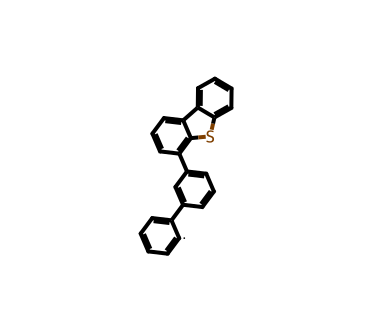 [c]1ccccc1-c1cccc(-c2cccc3c2sc2ccccc23)c1